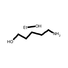 CCO.NCCCCCO